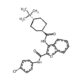 C[N+](C)(C)[C@H]1CC[C@H](C(=O)Nc2c(C(=O)Nc3ccc(Cl)cc3)oc3ccccc23)CC1